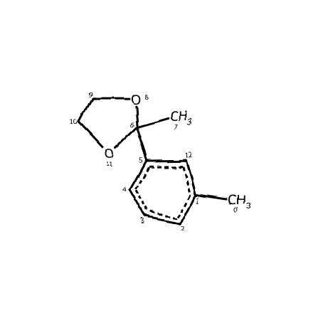 Cc1cccc(C2(C)OCCO2)c1